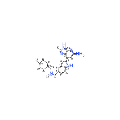 Cc1nc2c(-c3cc4cc(CN(C)CC5CCC(C)CC5)ccc4[nH]3)cc(N)nc2[nH]1